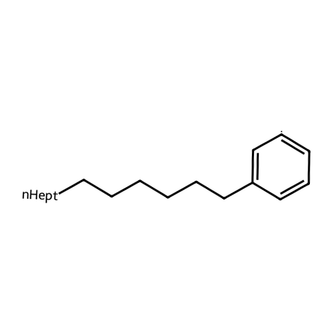 CCCCCCCCCCCCCc1c[c]ccc1